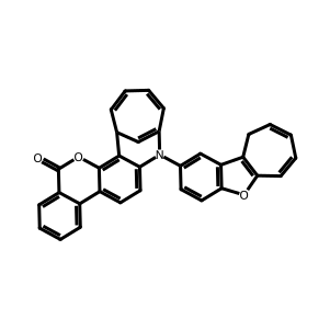 O=c1oc2c3c(ccc2c2ccccc12)N(c1ccc2oc4c(c2c1)CC=CC=C4)C1=CC3C=CC=C1